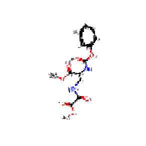 CC(C)(C)OC(=O)C(=O)NC[C@H](NC(=O)Oc1ccccc1)C(=O)OC(C)(C)C